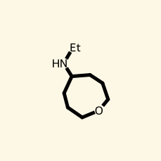 CCNC1CCCOCCC1